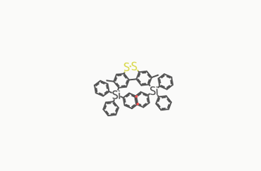 Cc1cc2c(cc1[Si](c1ccccc1)(c1ccccc1)c1ccccc1)-c1cc([Si](c3ccccc3)(c3ccccc3)c3ccccc3)c(C)cc1SS2